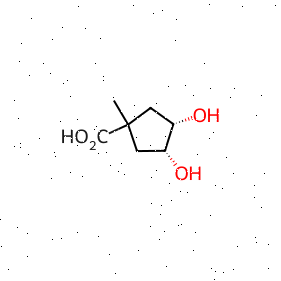 CC1(C(=O)O)C[C@@H](O)[C@@H](O)C1